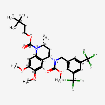 COC(=O)N(Cc1cc(C(F)(F)F)cc(C(F)(F)F)c1)[C@H]1C[C@@H](C)N(C(=O)OCCC(C)(C)C)c2cc(OC)c(OC)cc21